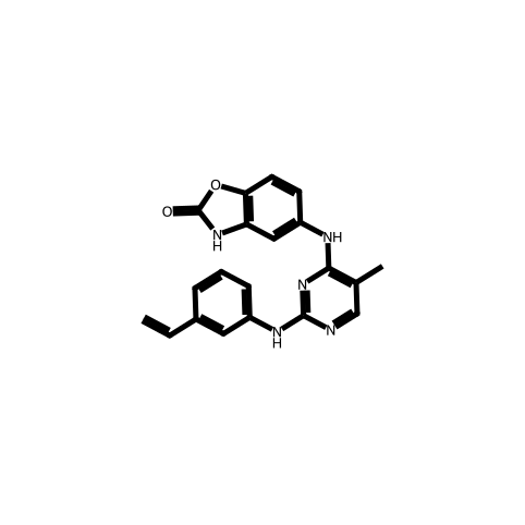 C=Cc1cccc(Nc2ncc(C)c(Nc3ccc4oc(=O)[nH]c4c3)n2)c1